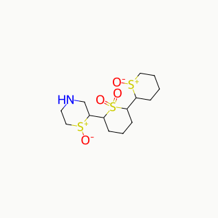 O=S1(=O)C(C2CCCC[S+]2[O-])CCCC1C1CNCC[S+]1[O-]